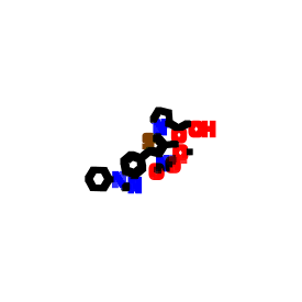 COC(=O)c1c(N2CCCC2CCO)sc(-c2ccc3c(c2)ncn3C2CCCCC2)c1[N+](=O)[O-]